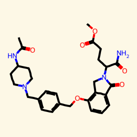 COC(=O)CCC(C(N)=O)N1Cc2c(OCc3ccc(CN4CCC(NC(C)=O)CC4)cc3)cccc2C1=O